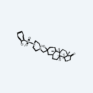 C[C@]12CCC(O)(CN3CCN(S(=O)(=O)c4ccccc4C(F)(F)F)CC3)CC1CC[C@@H]1[C@H]2CC[C@]2(C)C(=O)CC[C@@H]12